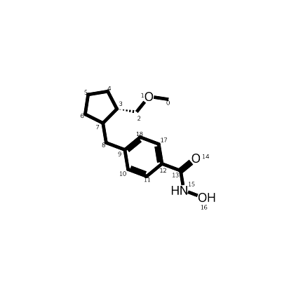 COC[C@H]1CCCC1Cc1ccc(C(=O)NO)cc1